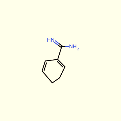 N=C(N)C1=C[CH]CC=C1